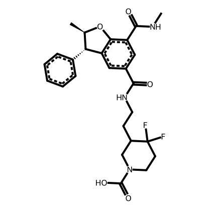 CNC(=O)c1cc(C(=O)NCCC2CN(C(=O)O)CCC2(F)F)cc2c1O[C@H](C)[C@H]2c1ccccc1